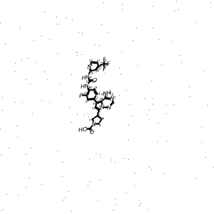 Nc1ncnn2c(C3CCN(C(=O)O)C3)cc(-c3ccc(NC(=O)Nc4cc(C(F)(F)F)ccn4)c(F)c3)c12